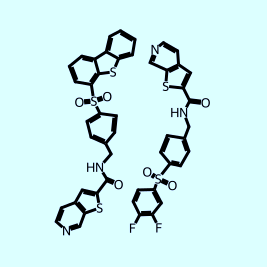 O=C(NCc1ccc(S(=O)(=O)c2ccc(F)c(F)c2)cc1)c1cc2ccncc2s1.O=C(NCc1ccc(S(=O)(=O)c2cccc3c2sc2ccccc23)cc1)c1cc2ccncc2s1